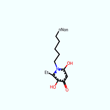 CCCCCCCCCCCCCCn1c(O)cc(=O)c(O)c1CC